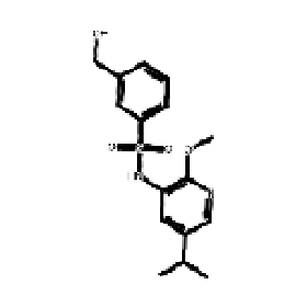 COc1ncc(C(C)C)cc1NS(=O)(=O)c1cccc(CO)c1